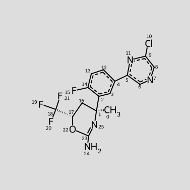 C[C@@]1(c2cc(-c3cncc(Cl)n3)ccc2F)C[C@@H](C(F)(F)F)OC(N)=N1